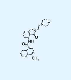 Cc1ccc(C(=O)Nc2cccc3c2C(=O)N(CCN2CCOCC2)C3)c2ccccc12